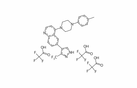 Cc1ccc(N2CCN(c3ccnc4ccc(-c5c[nH]nc5C(F)(F)F)cc34)CC2)cc1.O=C(O)C(F)(F)F.O=C(O)C(F)(F)F.O=C(O)C(F)(F)F